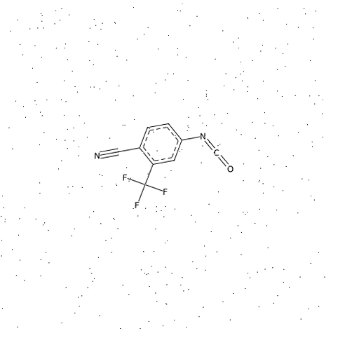 N#Cc1ccc(N=C=O)cc1C(F)(F)F